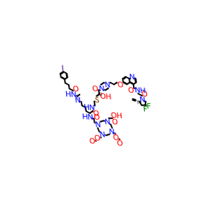 C#C[C@H]1CC(F)(F)CN1C(=O)CNC(=O)c1ccnc2ccc(OCCCN3CCN(C(=O)[C@H](O)CSCCNC(=O)C(CCCC/N=C(\C)NC(=O)CCCc4ccc(I)cc4)NC(=O)CN4CCN(COC=O)CCN(COC=O)CCN(CC(=O)O)CC4)CC3)cc12